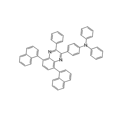 c1ccc(-c2nc3c(-c4cccc5ccccc45)ccc(-c4cccc5ccccc45)c3nc2-c2ccc(N(c3ccccc3)c3ccccc3)cc2)cc1